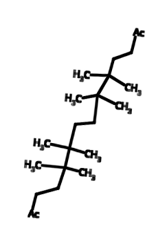 CC(=O)CCC(C)(C)C(C)(C)CCC(C)(C)C(C)(C)CCC(C)=O